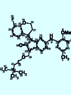 COc1ncc(C)cc1Nc1ncc2c(n1)n([C@@H]1CCOc3c(F)cccc31)c(=O)n2COCC[Si](C)(C)C